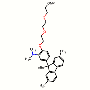 CCCCC1(c2ccc(OCCOCCOCCOC)c(N(C)C)c2)c2cc(C)ccc2-c2ccc(C)cc21